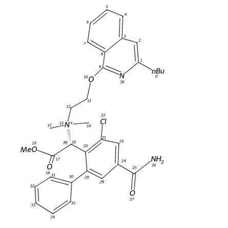 CCCCc1cc2ccccc2c(OCC[N+](C)(C)[C@@H](C(=O)OC)c2c(Cl)cc(C(N)=O)cc2-c2ccccc2)n1